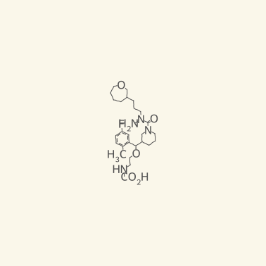 Cc1ccc(F)cc1[C@H](OCCNC(=O)O)C1CCCN(C(=O)N(N)CCCC2CCCCOC2)C1